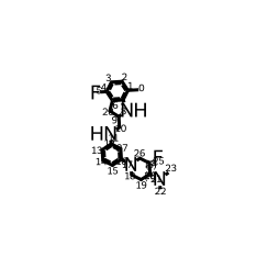 Cc1ccc(F)c2c1NC(CNc1cccc(N3CC[C@@H](N(C)C)[C@@H](F)C3)c1)C2